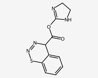 O=C(OC1=NCCN1)C1N=NSc2ccccc21